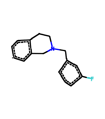 Fc1cccc(CN2CCc3cc[c]cc3C2)c1